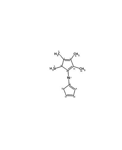 CC1=C(C)C([SiH3])[C]([Ni][C]2=CC=CC2)=C1C